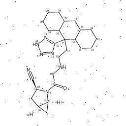 N#C[C@@H]1C[C@@H]2C[C@@H]2N1C(=O)CNCCC1(c2nn[nH]n2)C2CCCCC2CC2CCCCC21